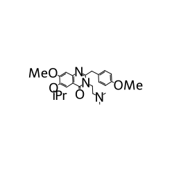 COc1ccc(Cc2nc3cc(OC)c(OC(C)C)cc3c(=O)n2CCN(C)C)cc1